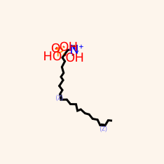 CC/C=C\CCCCCCCCC/C=C\CCCCCCCCC(O)(C[N+](C)(C)C)P(=O)(O)O